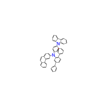 c1ccc(-c2ccc(-c3ccccc3)c(N(c3ccc(-n4c5ccccc5c5ccccc54)cc3)c3ccc4ccc5ccccc5c4c3)c2)cc1